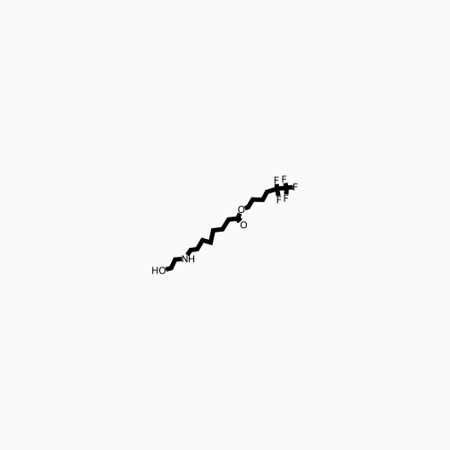 O=C(CCCCCCCNCCO)OCCCCC(F)(F)C(F)(F)F